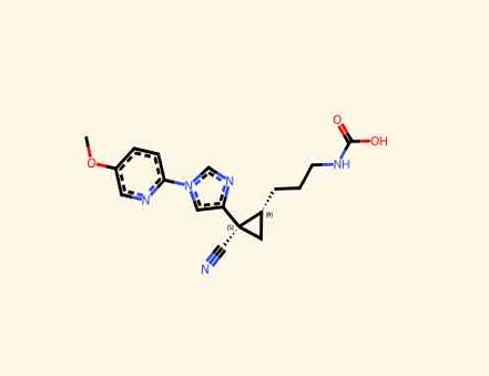 COc1ccc(-n2cnc([C@]3(C#N)C[C@H]3CCCNC(=O)O)c2)nc1